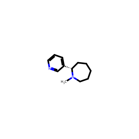 CN1CCCCC[C@H]1c1cccnc1